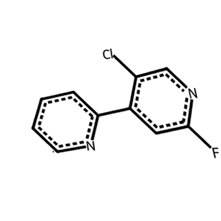 Fc1cc(-c2ccc[c]n2)c(Cl)cn1